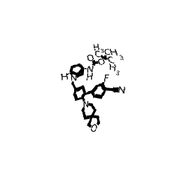 CC(C)(C)OC(=O)N[C@@]12CC[C@@H](C1)N(Cc1ccc(N3CCC4(CCOC4)CC3)c(-c3ccc(C#N)c(F)c3)c1)C2